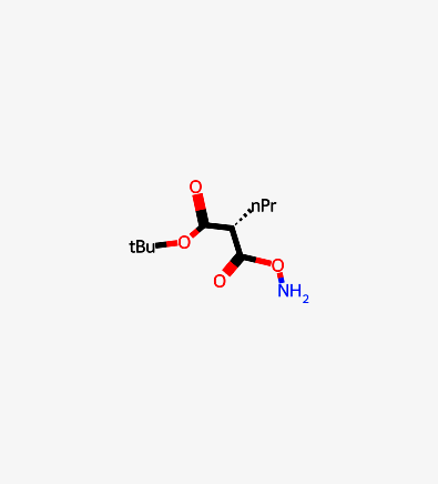 CCC[C@H](C(=O)ON)C(=O)OC(C)(C)C